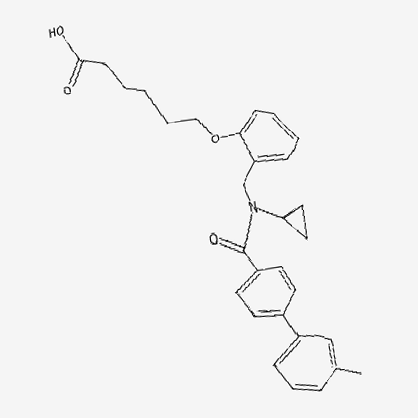 Cc1cccc(-c2ccc(C(=O)N(Cc3ccccc3OCCCCCC(=O)O)C3CC3)cc2)c1